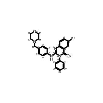 O=c1c2cc(F)ccc2nc(Nc2ccc(CN3CCOCC3)cc2)n1-c1ccccc1